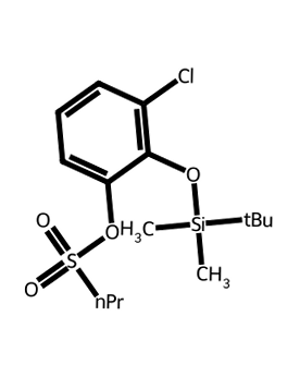 CCCS(=O)(=O)Oc1cccc(Cl)c1O[Si](C)(C)C(C)(C)C